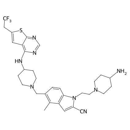 Cc1c(CN2CCC(Nc3ncnc4sc(CC(F)(F)F)cc34)CC2)ccc2c1cc(C#N)n2CCN1CCC(N)CC1